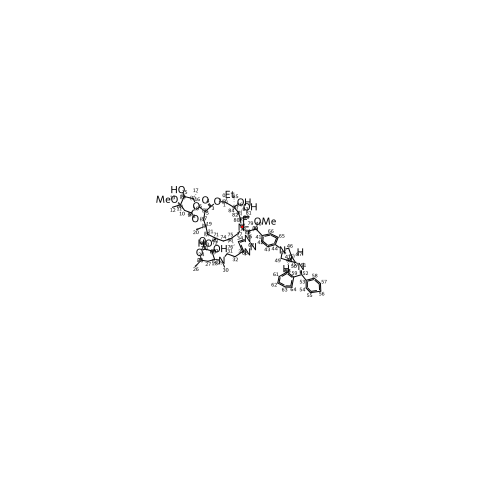 CC[C@H]1OC(=O)[C@H](C)[C@@H](O[C@H]2C[C@@](C)(OC)[C@@H](O)[C@H](C)O2)[C@H](C)[C@@H](O[C@@H]2O[C@H](C)C[C@H](N(C)CCc3cn([C@H](CF)[C@H](OC)c4ccc(N5C[C@@H]6[C@H](C5)[C@H]6N=C(c5ccccc5)c5ccccc5)cc4)nn3)[C@H]2O)[C@](C)(O)C[C@@H](C)CN(C)[C@H](C)[C@@H](O)[C@]1(C)O